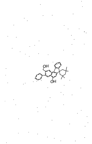 CC1(C)CC(C)(C)CC2(C1)c1ccccc1-c1c2cc(O)c2cc(-c3ccccc3)c(CO)cc12